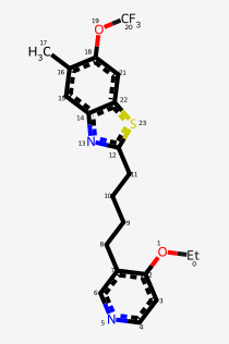 CCOc1ccncc1CCCCc1nc2cc(C)c(OC(F)(F)F)cc2s1